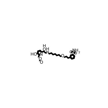 NS(=O)(=O)c1cccc(CCCOCCCCCCCNCC(O)c2ccc(O)c(COC=O)n2)c1